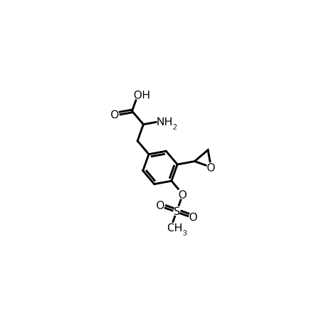 CS(=O)(=O)Oc1ccc(CC(N)C(=O)O)cc1C1CO1